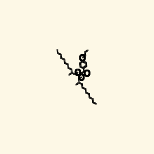 CCCCCCCCCC(C)COC(OCC(C)CCCCCCCCC)C(=O)c1ccc(OCCC)cc1